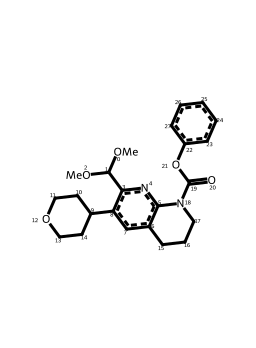 COC(OC)c1nc2c(cc1C1CCOCC1)CCCN2C(=O)Oc1ccccc1